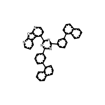 c1cc(-c2nc(-c3cccc(-c4cccc5ccccc45)c3)nc(-c3ccnc4oc5ncccc5c34)n2)cc(-c2cccc3ccccc23)c1